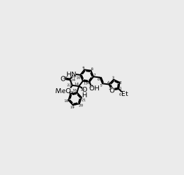 CCc1ccc(C=Cc2ccc3c(c2O)C(O)(c2ccccc2)C(OC)C(=O)N3)o1